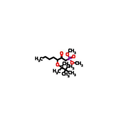 CCCCC(O[Si](C)(C)C(C)(C)C)C(=O)CP(=O)(OC)OC